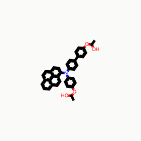 CC(O)Oc1ccc(-c2ccc(N(c3ccc(OC(C)O)cc3)c3ccc4ccc5cccc6ccc3c4c56)cc2)cc1